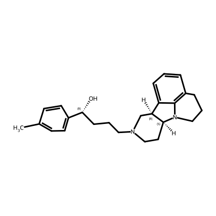 Cc1ccc([C@H](O)CCCN2CC[C@H]3[C@@H](C2)c2cccc4c2N3CCC4)cc1